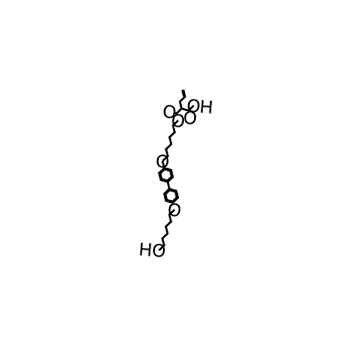 C=CCC(C(=O)O)C(=O)OCCCCCCOc1ccc(-c2ccc(OCCCCCCO)cc2)cc1